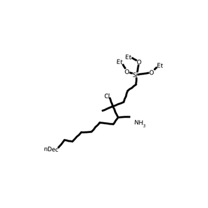 CCCCCCCCCCCCCCCCC(C)C(C)(Cl)CCC[Si](OCC)(OCC)OCC.N